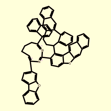 C1=C(c2ccc3c(c2)oc2ccccc23)/N=C(c2ccc3sc4cc5ccccc5cc4c3c2C2CCc3cc4ccccc4cc3-c3ccccc32)\N=C(\c2cccc3ccccc23)CCC/1